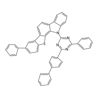 c1ccc(-c2ccc(-c3nc(-c4ccccc4)nc(-n4c5ccccc5c5ccc6c7cc(-c8ccccc8)ccc7sc6c54)n3)cc2)cc1